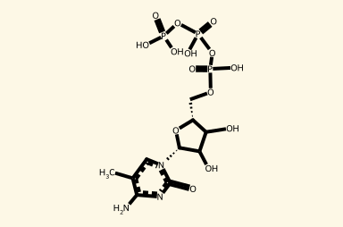 Cc1cn([C@@H]2O[C@H](COP(=O)(O)OP(=O)(O)OP(=O)(O)O)C(O)C2O)c(=O)nc1N